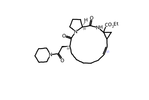 CCOC(=O)C12CC1/C=C\CCCCC[C@@H](CC(=O)N1CCCCC1)C(=O)N1CCC[C@H]1C(=O)N2